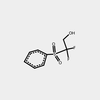 O=S(=O)(c1ccccc1)C(F)(F)CO